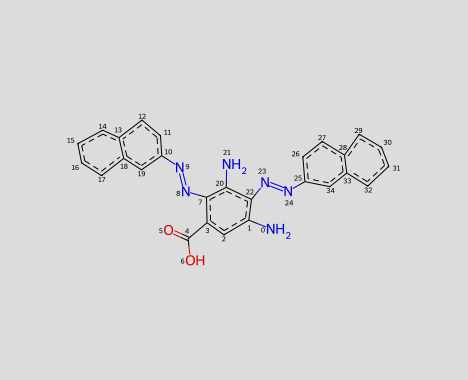 Nc1cc(C(=O)O)c(N=Nc2ccc3ccccc3c2)c(N)c1N=Nc1ccc2ccccc2c1